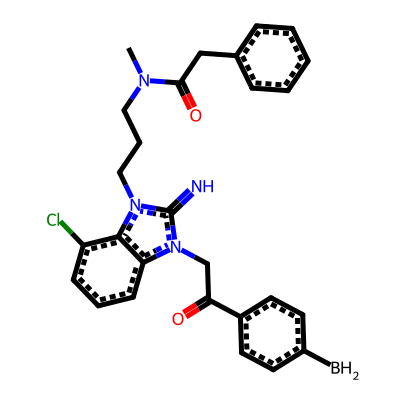 Bc1ccc(C(=O)Cn2c(=N)n(CCCN(C)C(=O)Cc3ccccc3)c3c(Cl)cccc32)cc1